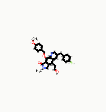 COc1ccc(COc2c3c(c(CC=O)c4cc(Cc5ccc(F)cc5)cnc24)CN(C)C3=O)cc1